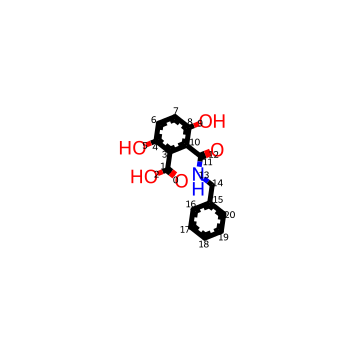 O=C(O)c1c(O)ccc(O)c1C(=O)NCc1ccccc1